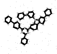 c1ccc(-c2ccc(-c3nc(-c4ccccc4)nc(-c4ccc5c6ccc(-c7ccccc7)cc6n(-c6cccc(-c7ccccc7)c6)c5c4)n3)cc2)cc1